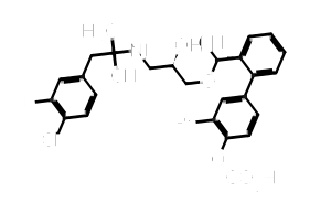 CC(C)c1cc(-c2ccccc2C(C)OC[C@H](O)CNC(C)(C)Cc2ccc(Cl)c(F)c2)ccc1OC(=O)O